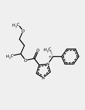 COCCC(C)OC(=O)c1cncn1[C@H](C)c1ccccc1